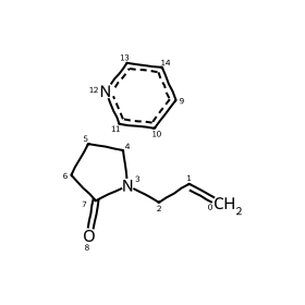 C=CCN1CCCC1=O.c1ccncc1